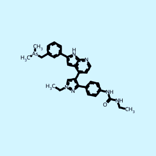 CCNC(=O)Nc1ccc(-c2nn(CC)cc2-c2ccnc3[nH]c(-c4cccc(C[As](C)C)c4)cc23)cc1